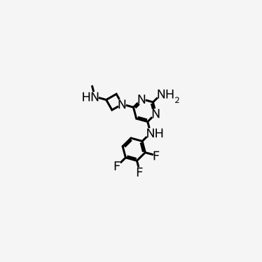 CNC1CN(c2cc(Nc3ccc(F)c(F)c3F)nc(N)n2)C1